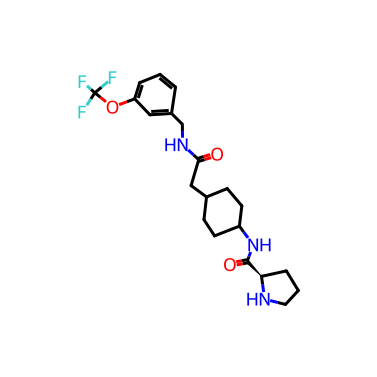 O=C(CC1CCC(NC(=O)[C@H]2CCCN2)CC1)NCc1cccc(OC(F)(F)F)c1